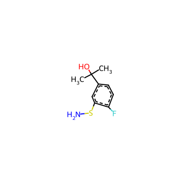 CC(C)(O)c1ccc(F)c(SN)c1